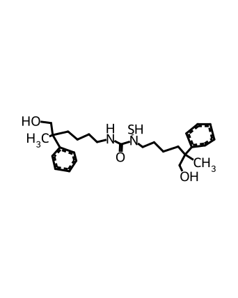 CC(CO)(CCCCNC(=O)N(S)CCCCC(C)(CO)c1ccccc1)c1ccccc1